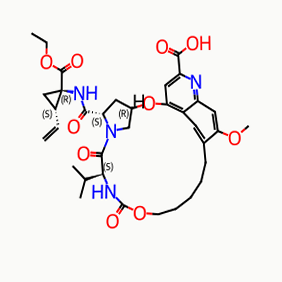 C=C[C@@H]1C[C@]1(NC(=O)[C@@H]1C[C@@H]2CN1C(=O)[C@H](C(C)C)NC(=O)OCCCCCc1cc3c(cc(C(=O)O)nc3cc1OC)O2)C(=O)OCC